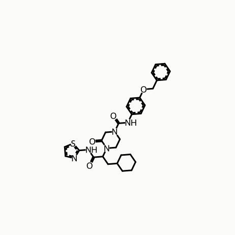 O=C(Nc1nccs1)C(CC1CCCCC1)N1CCN(C(=O)Nc2ccc(OCc3ccccc3)cc2)CC1=O